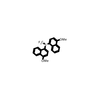 COc1ccc([S+](c2ccc(OC)c3ccccc23)C(F)(F)F)c2ccccc12